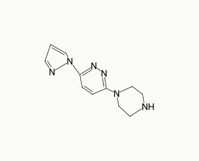 c1cnn(-c2ccc(N3CCNCC3)nn2)c1